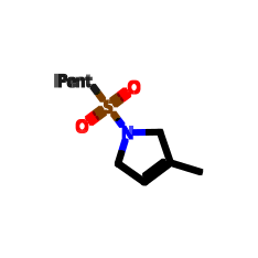 CCCC(C)S(=O)(=O)N1CC=C(C)C1